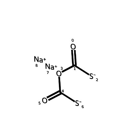 O=C([S-])OC(=O)[S-].[Na+].[Na+]